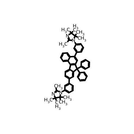 CC1=NC(C)(C)C(C)(C)N1c1cccc(-c2ccc3c(c2)C(c2ccccc2)(c2ccccc2)c2cc(-c4cccc(N5C(C)=NC(C)(C)C5(C)C)c4)c4ccccc4c2-3)c1